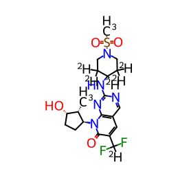 [2H]C(F)(F)c1cc2cnc(NC3([2H])C([2H])([2H])CN(S(C)(=O)=O)CC3([2H])[2H])nc2n([C@H]2CC[C@H](O)[C@@H]2C)c1=O